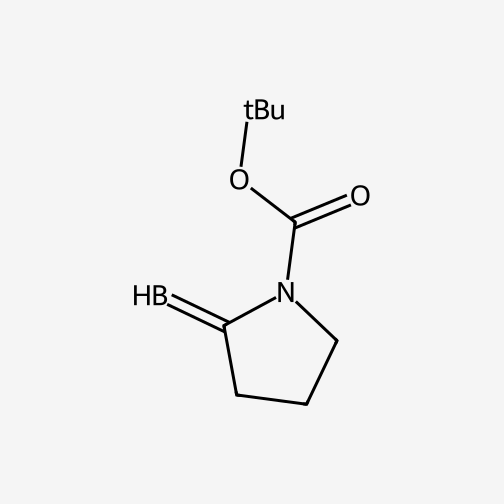 B=C1CCCN1C(=O)OC(C)(C)C